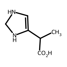 CC(C(=O)O)C1=CNCN1